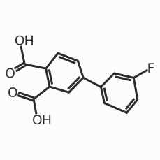 O=C(O)c1ccc(-c2cccc(F)c2)cc1C(=O)O